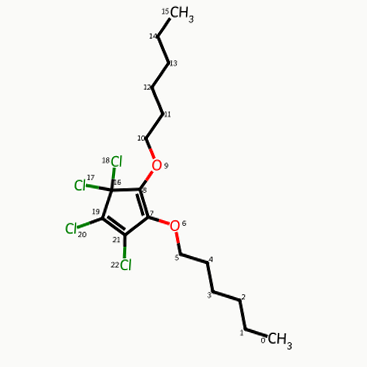 CCCCCCOC1=C(OCCCCCC)C(Cl)(Cl)C(Cl)=C1Cl